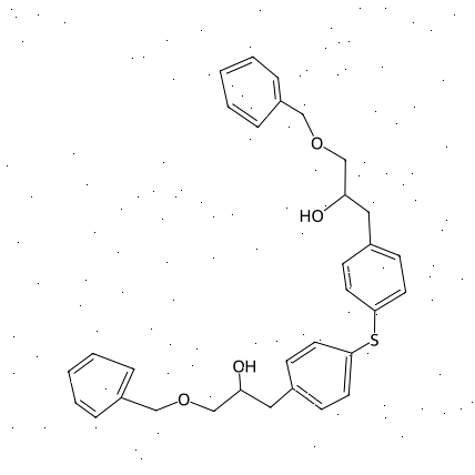 OC(COCc1ccccc1)Cc1ccc(Sc2ccc(CC(O)COCc3ccccc3)cc2)cc1